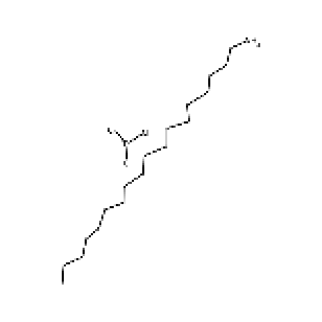 CCCCCCCCCCCCCCCCCCN.[Cl][Ti]([Cl])[Cl]